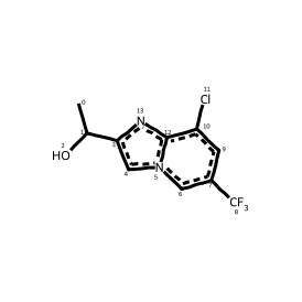 CC(O)c1cn2cc(C(F)(F)F)cc(Cl)c2n1